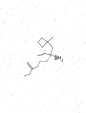 BC(CC)(CCCC(=C)CC)CC1(C)CCC1